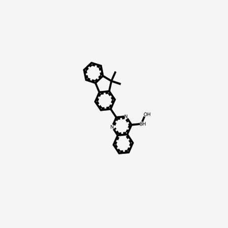 CC1(C)c2ccccc2-c2ccc(-c3nc(BO)c4ccccc4n3)cc21